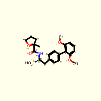 CCOc1cccc(OCC)c1-c1ccc(C[C@H](NC(=O)C2(C)CCCO2)C(=O)O)cc1